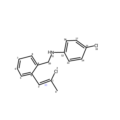 C/C(Cl)=C/c1ccccc1CNc1ccc(Cl)cc1